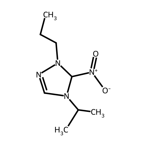 CCCN1N=CN(C(C)C)C1[N+](=O)[O-]